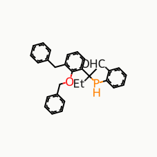 CCC(C)(Pc1ccccc1C=O)c1cccc(Cc2ccccc2)c1OCc1ccccc1